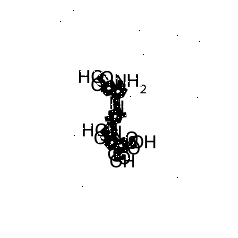 Cc1cc(N=Nc2c(S(=O)(=O)O)ccc3c(S(=O)(=O)O)cc(S(=O)(=O)O)cc23)c(C)cc1N=Nc1ccc(N)c2cc(S(=O)(=O)O)ccc12